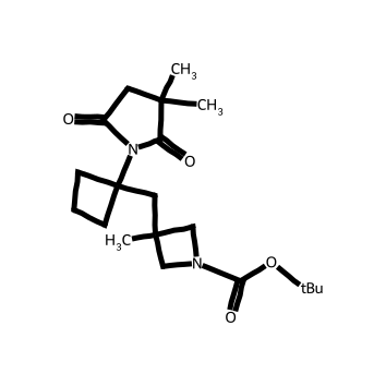 CC1(CC2(N3C(=O)CC(C)(C)C3=O)CCC2)CN(C(=O)OC(C)(C)C)C1